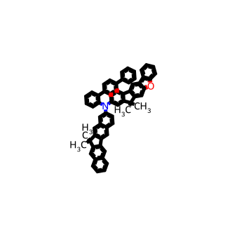 CC1(C)c2cc3ccccc3cc2-c2cc3ccc(N(c4ccc5c(c4)C(C)(C)c4cc6oc7ccccc7c6cc4-5)c4ccccc4-c4ccc(-c5ccccc5)cc4)cc3cc21